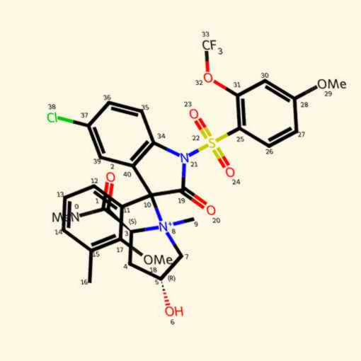 CNC(=O)[C@@H]1C[C@@H](O)C[N+]1(C)C1(c2cccc(C)c2OC)C(=O)N(S(=O)(=O)c2ccc(OC)cc2OC(F)(F)F)c2ccc(Cl)cc21